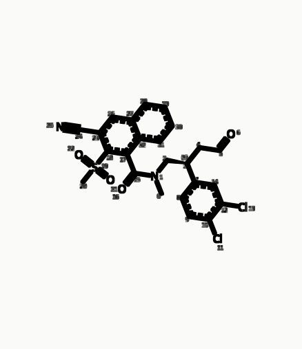 CN(C[C@@H](CC=O)c1ccc(Cl)c(Cl)c1)C(=O)c1c(S(C)(=O)=O)c(C#N)cc2ccccc12